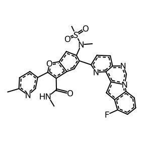 CNC(=O)c1c(-c2ccc(C)nc2)oc2cc(N(C)S(C)(=O)=O)c(-c3ccc4ncn5c6cccc(F)c6cc5c4n3)cc12